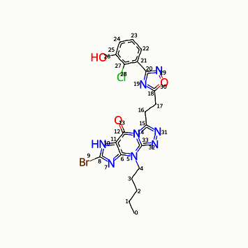 CCCCCn1c2nc(Br)[nH]c2c(=O)n2c(CCc3nc(-c4cccc(O)c4Cl)no3)nnc12